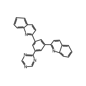 c1ccc2nc(-c3cc(-c4ccc5ccccc5n4)cc(-c4ncncn4)c3)ccc2c1